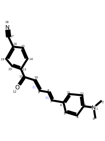 CN(C)c1ccc(/C=C/C=C/C(=O)c2ccc(C#N)cc2)cc1